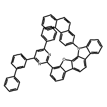 c1ccc(-c2cccc(-c3cc(-c4ccccc4)nc(-c4cccc5c4oc4c5ccc5c6ccccc6n(-c6ccc7c(ccc8ccccc87)c6)c54)n3)c2)cc1